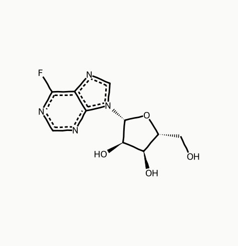 OC[C@H]1O[C@@H](n2cnc3c(F)ncnc32)[C@H](O)[C@@H]1O